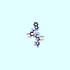 CO[C@H]1[C@@H](O)[C@H](n2ccc(=O)[nH]c2=O)O[C@@H]1[C@@H](O[C@H]1OC(C(=O)Nc2ccc3ccccc3n2)=C[C@H](O)[C@@H]1O)C(N)=O